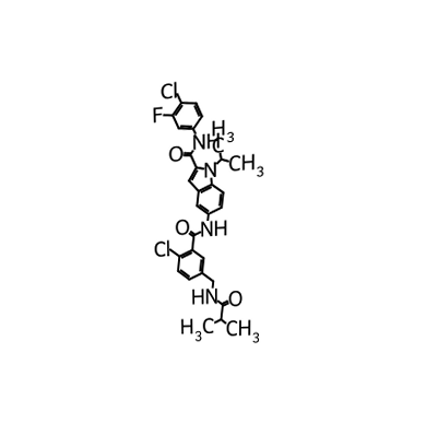 CC(C)C(=O)NCc1ccc(Cl)c(C(=O)Nc2ccc3c(c2)cc(C(=O)Nc2ccc(Cl)c(F)c2)n3C(C)C)c1